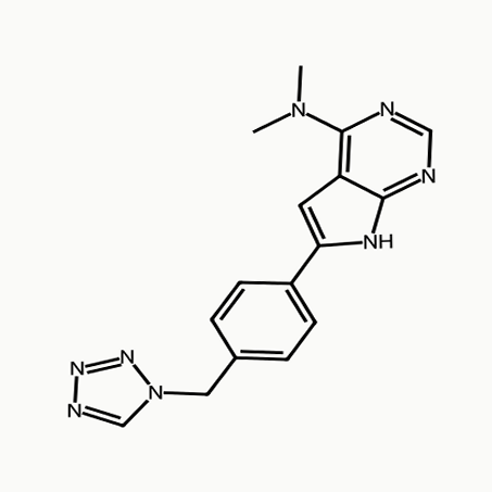 CN(C)c1ncnc2[nH]c(-c3ccc(Cn4cnnn4)cc3)cc12